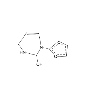 OC1NCC=CN1c1ccco1